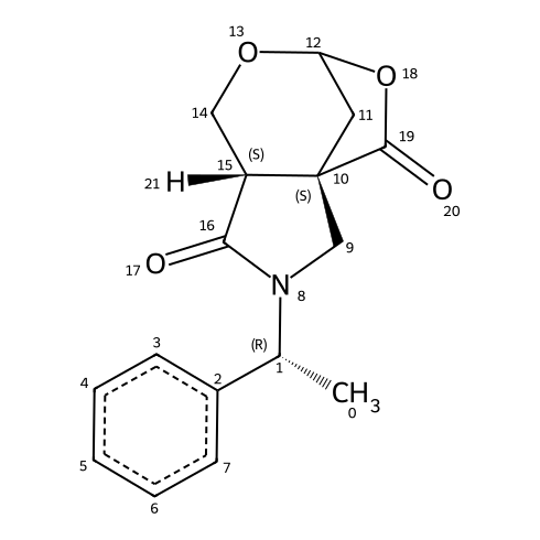 C[C@H](c1ccccc1)N1C[C@]23CC(OC[C@H]2C1=O)OC3=O